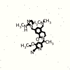 CCOc1cc([C@H](C)N2CCc3c(CN(C)C)cc(Cn4ccnc4NC)cc3C2=O)cnc1C#N